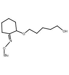 CC(C)(C)O/N=C1\CCCCC1OCCCCCO